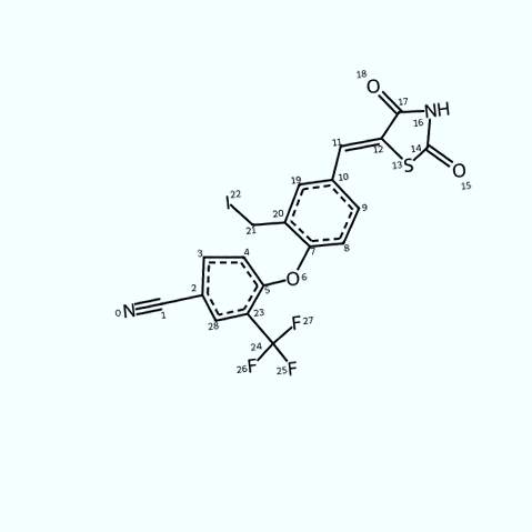 N#Cc1ccc(Oc2ccc(/C=C3\SC(=O)NC3=O)cc2CI)c(C(F)(F)F)c1